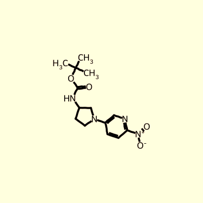 CC(C)(C)OC(=O)NC1CCN(c2ccc([N+](=O)[O-])nc2)C1